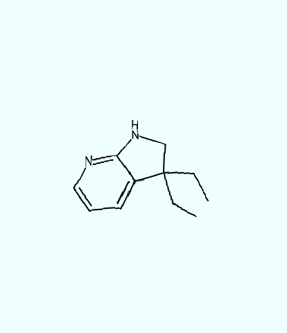 CCC1(CC)CNc2ncccc21